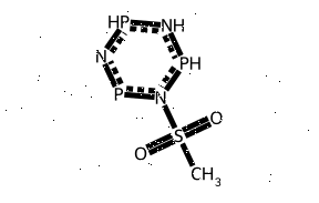 CS(=O)(=O)n1pn[pH][nH][pH]1